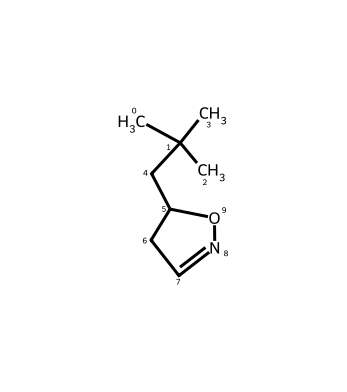 CC(C)(C)CC1CC=NO1